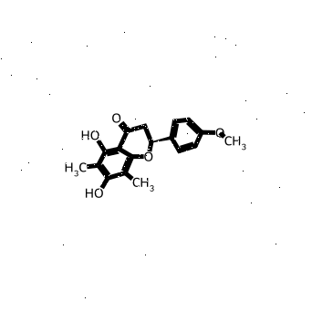 COc1ccc([C@@H]2CC(=O)c3c(O)c(C)c(O)c(C)c3O2)cc1